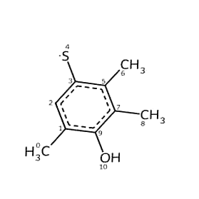 Cc1cc([S])c(C)c(C)c1O